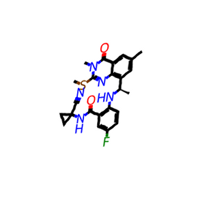 CSc1nc2c([C@@H](C)Nc3ccc(F)cc3C(=O)NC3(C#N)CC3)cc(C)cc2c(=O)n1C